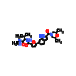 CNC(=O)[C@@H](NC(=O)c1ccc(-c2ccc3cc(C(=O)N4CC(C)OC(C)C4)[nH]c3c2)o1)C(C)C